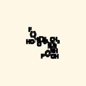 Cc1cnc(Nc2ccc(F)cc2O)nc1-c1cc2n(c1)CCN([C@H](CO)c1ccc(F)cc1)C2=O